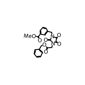 COC(=O)c1cccc(CN2C(=O)C(=O)N(CC(=O)OCc3ccccc3)C2=O)c1